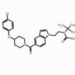 CC(C)(C)N(CCn1ccc2cc(C(=O)N3CCC(Oc4ccc(Cl)cc4)CC3)ccc21)C(=O)O